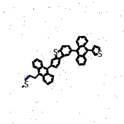 CS/C=C\Cc1c2ccccc2c(-c2ccc3c(c2)sc2ccc(-c4c5ccccc5c(-c5ccsc5)c5ccccc45)cc23)c2ccccc12